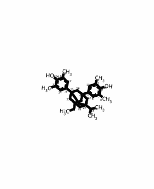 CCC12CC3(c4cc(C)c(O)c(C)c4)CC(c4cc(C)c(O)c(C)c4)(C1)CC(C(C)C)(C2)C3